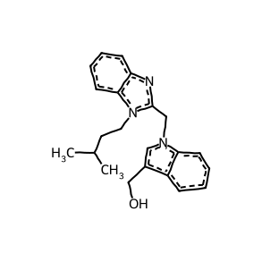 CC(C)CCn1c(Cn2cc(CO)c3ccccc32)nc2ccccc21